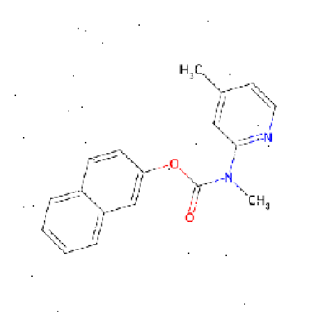 Cc1ccnc(N(C)C(=O)Oc2ccc3ccccc3c2)c1